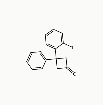 O=C1CC(c2ccccc2)(c2ccccc2I)C1